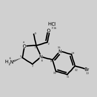 CC1(C=O)O[C@@H](N)CN1c1ccc(Br)cn1.Cl